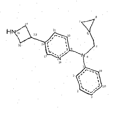 c1ccc(N(CC2CC2)c2ccc(C3CNC3)cn2)cc1